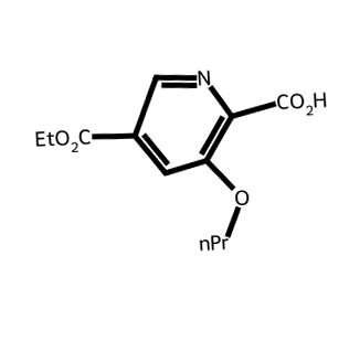 CCCOc1cc(C(=O)OCC)cnc1C(=O)O